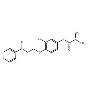 CN(C)C(=O)Nc1ccc(OCCC(Cl)c2ccccc2)c(Cl)c1